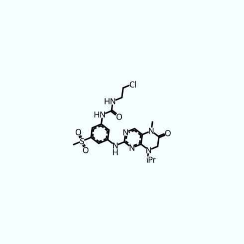 CC(C)N1CC(=O)N(C)c2cnc(Nc3cc(NC(=O)NCCCl)cc(S(C)(=O)=O)c3)nc21